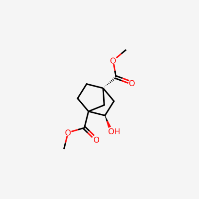 COC(=O)C12CC[C@@](C(=O)OC)(C[C@H]1O)C2